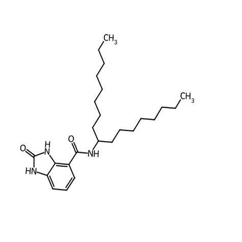 CCCCCCCCC(CCCCCCCC)NC(=O)c1cccc2[nH]c(=O)[nH]c12